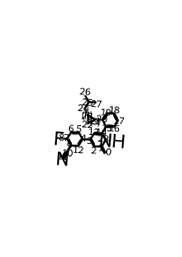 C=C1C=C(c2ccc(F)c(C#N)c2)C=C(c2ccccc2[C@H]2C[C@H]2CC(C)C)N1